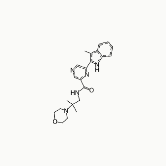 Cc1c(-c2cncc(C(=O)NCC(C)(C)N3CCOCC3)n2)[nH]c2ccccc12